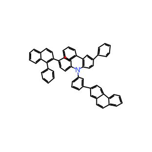 c1ccc(-c2ccc(N(c3ccc(-c4ccc5ccccc5c4-c4ccccc4)cc3)c3cccc(-c4ccc5c(ccc6ccccc65)c4)c3)c(-c3ccccc3)c2)cc1